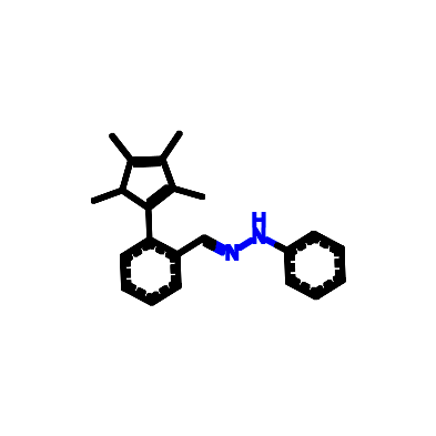 CC1=C(C)C(C)C(c2ccccc2/C=N/Nc2ccccc2)=C1C